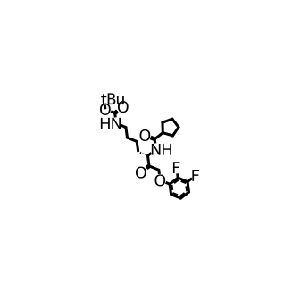 CC(C)(C)OC(=O)NCCCC[C@H](NC(=O)C1CCCC1)C(=O)COc1cccc(F)c1F